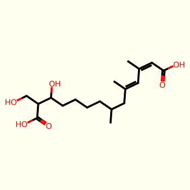 CC(=CC(=O)O)C=C(C)CC(C)CCCCC(O)C(CO)C(=O)O